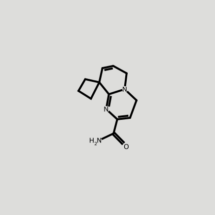 NC(=O)C1=CCN2CC=CC3(CCC3)C2=N1